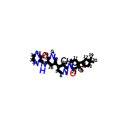 Cn1cc(-c2ccnc(N3CCc4c(sc5c4CC(C)(C)C5)C3=O)c2C=O)cc(Nc2cnccn2)c1=O